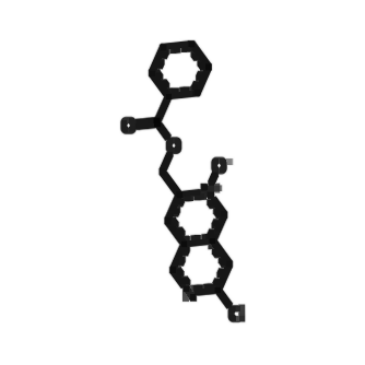 O=C(OCc1cc2cnc(Cl)cc2c[n+]1[O-])c1ccccc1